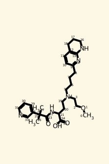 COCCN(CCCCc1ccc2c(n1)NCCC2)CCC(NC(=O)C(C)(C)c1cccnc1)C(=O)O